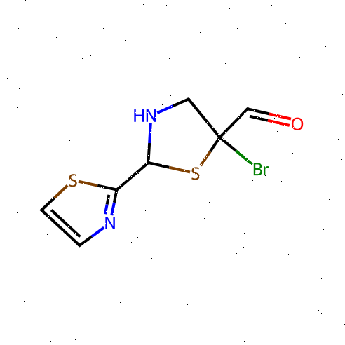 O=CC1(Br)CNC(c2nccs2)S1